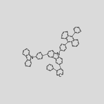 c1ccc(-c2ccccc2-c2ccc3c(c2)c2cc(-c4ccc(-n5c6ccccc6c6ccccc65)cc4)ccc2n3-c2ccc(-c3c4ccccc4c(-c4ccccc4)c4ccccc34)cc2)cc1